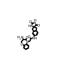 NC1COc2ccccc2N(CC(=O)Nc2ccc3c(c2)CC2(C3)NC(=O)NC2=O)C1=O